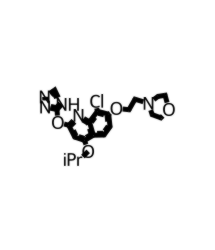 CC(C)Oc1cc(Oc2nnc[nH]2)nc2c(Cl)c(OCCN3CCOCC3)ccc12